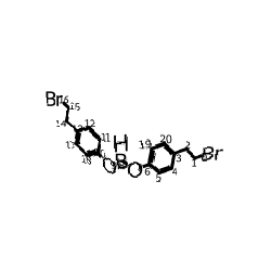 BrCCc1ccc(OBOc2ccc(CCBr)cc2)cc1